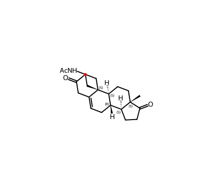 CC(=O)NCC[C@]12CCC(=O)CC1=CC[C@@H]1[C@@H]2CC[C@]2(C)C(=O)CC[C@@H]12